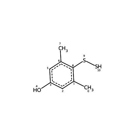 Cc1cc(O)cc(C)c1SS